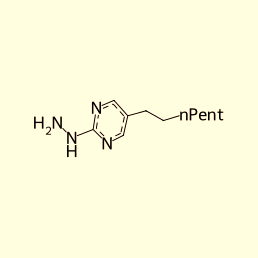 CCCCCCCc1cnc(NN)nc1